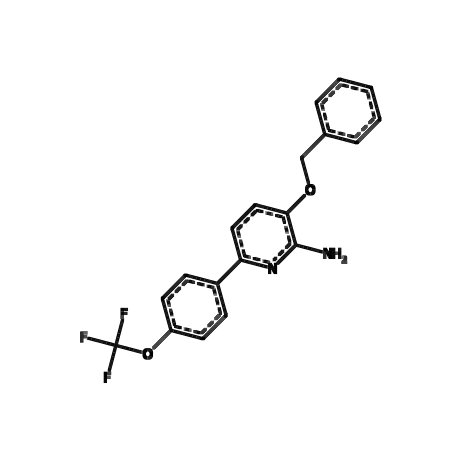 Nc1nc(-c2ccc(OC(F)(F)F)cc2)ccc1OCc1ccccc1